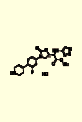 CC(C)(C)OC(=O)C(Nc1cnsn1)[C@H]1CN(c2ccc(C3=CCNCC3)c(F)c2)C(=O)O1.Cl